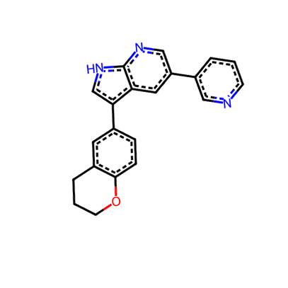 c1cncc(-c2cnc3[nH]cc(-c4ccc5c(c4)CCCO5)c3c2)c1